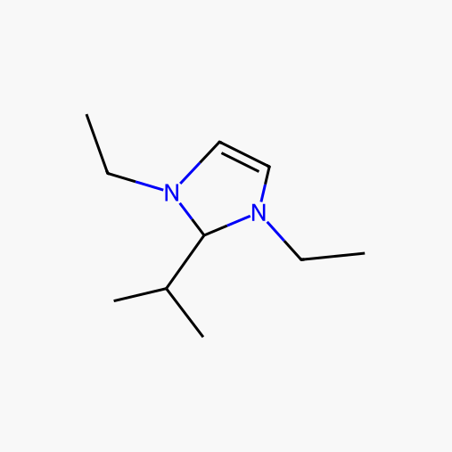 CCN1C=CN(CC)C1C(C)C